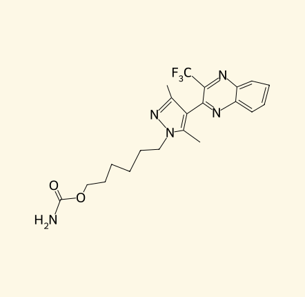 Cc1nn(CCCCCCOC(N)=O)c(C)c1-c1nc2ccccc2nc1C(F)(F)F